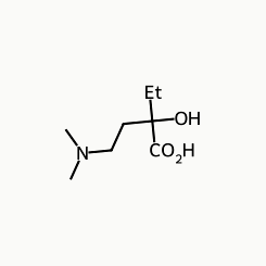 CCC(O)(CCN(C)C)C(=O)O